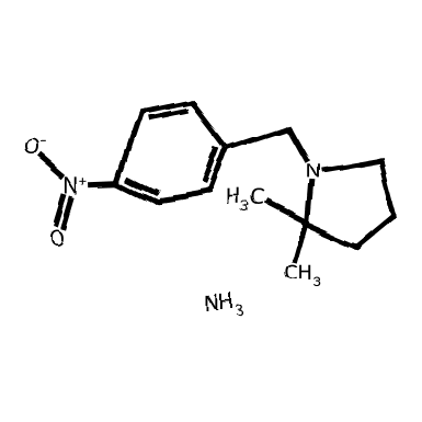 CC1(C)CCCN1Cc1ccc([N+](=O)[O-])cc1.N